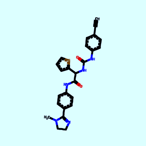 C#Cc1ccc(NC(=O)NC(C(=O)Nc2ccc(C3=NCCN3C)cc2)c2cccs2)cc1